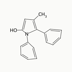 Cc1cc(O)n(-c2ccccc2)c1-c1ccccc1